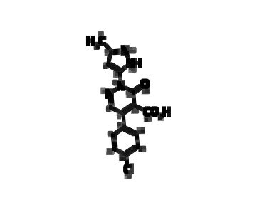 Cc1cc(-n2ncc(-c3ccc(Cl)cc3)c(C(=O)O)c2=O)[nH]n1